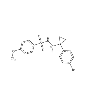 C[C@H](NS(=O)(=O)c1ccc(OC(F)(F)F)cc1)C1(c2ccc(Br)cc2)CC1